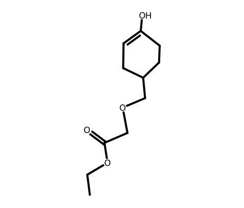 CCOC(=O)COCC1CC=C(O)CC1